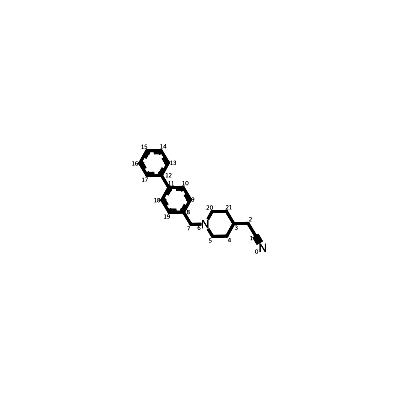 N#CCC1CCN(Cc2ccc(-c3ccccc3)cc2)CC1